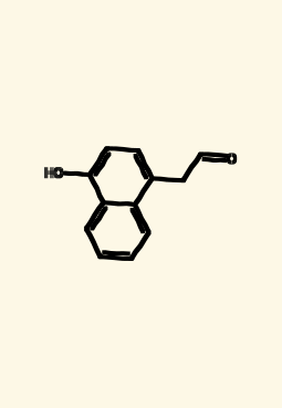 O=CCc1ccc(O)c2ccccc12